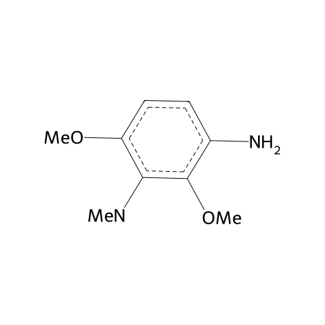 CNc1c(OC)ccc(N)c1OC